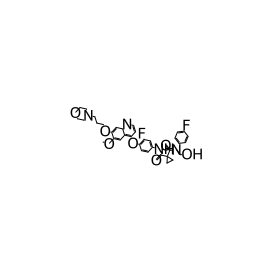 COc1cc2c(Oc3ccc(NC(=O)C4(C(=O)N(CO)c5ccc(F)cc5)CC4)cc3F)ccnc2cc1OCCCN1CCOCC1